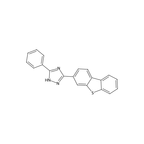 c1ccc(-c2nc(-c3ccc4c(c3)sc3ccccc34)n[nH]2)cc1